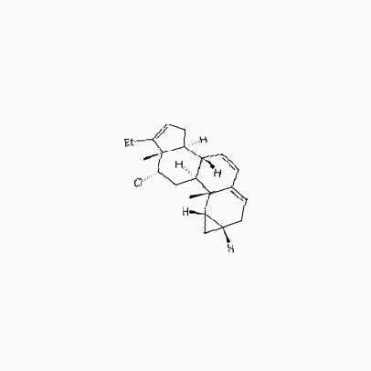 CCC1=CC[C@H]2[C@@H]3C=CC4=CC[C@@H]5C[C@@H]5[C@]4(C)[C@H]3C[C@H](Cl)[C@]12C